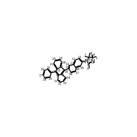 CC1=NC(C)(C)C(C)(C)N1c1ccc2cc(-c3c4ccccc4c(-c4ccccc4)c4ccccc34)ccc2c1